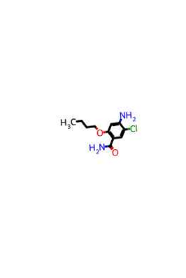 CCCCOc1cc(N)c(Cl)cc1C(N)=O